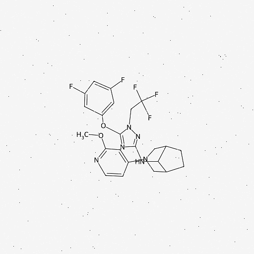 COc1cc(N2CC3CCC(C2)C3Nc2nc(Oc3cc(F)cc(F)c3)n(CC(F)(F)F)n2)ccn1